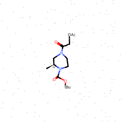 CC(=O)OCC(=O)N1CCN(C(=O)OC(C)(C)C)[C@@H](C)C1